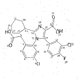 O=C(O)Cc1ccc(Cl)cc1-n1c(C2CCCCC2)nc(C(=O)O)c1-c1ccc(F)c(Cl)c1